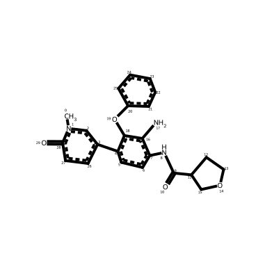 Cn1cc(-c2ccc(NC(=O)C3CCOC3)c(N)c2Oc2ccccc2)ccc1=O